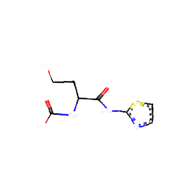 O=C(O)NC(CCO)C(=O)Nc1nccs1